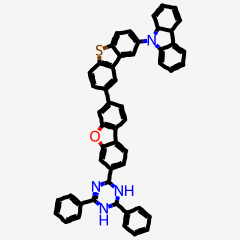 C1=CC2c3ccccc3N(c3ccc4sc5ccc(-c6ccc7c(c6)oc6cc(C8N=C(c9ccccc9)NC(c9ccccc9)N8)ccc67)cc5c4c3)C2C=C1